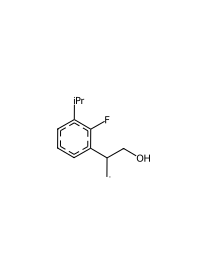 [CH2]C(CO)c1cccc(C(C)C)c1F